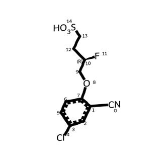 N#Cc1cc(Cl)ccc1OC[C@H](F)CCS(=O)(=O)O